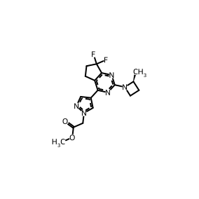 COC(=O)Cn1cc(-c2nc(N3CC[C@@H]3C)nc3c2CCC3(F)F)cn1